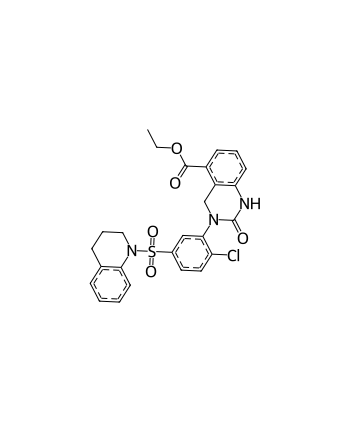 CCOC(=O)c1cccc2c1CN(c1cc(S(=O)(=O)N3CCCc4ccccc43)ccc1Cl)C(=O)N2